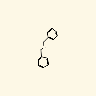 c1ccc(C[Se]Cc2ccccc2)cc1